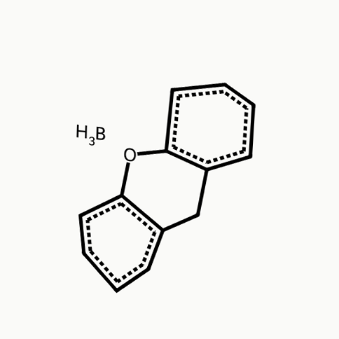 B.c1ccc2c(c1)Cc1ccccc1O2